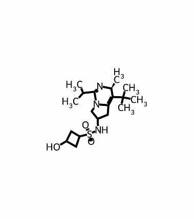 CC(C)C1=N[C@@H](C)C(C(C)(C)C)=C2CC(NS(=O)(=O)C3CC(O)C3)CN12